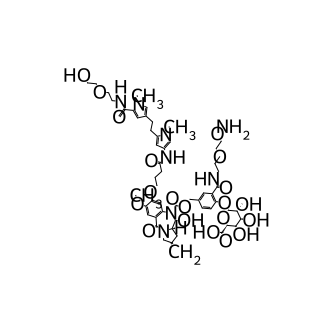 C=C1C[C@H]2C(O)N(C(=O)OCc3ccc(O[C@@H]4O[C@H](C(=O)O)[C@@H](O)[C@H](O)[C@H]4O)c(C(=O)NCCOCCON)c3)c3cc(OCCCC(=O)Nc4cc(CCc5cc(C(=O)NCCOCCO)n(C)c5)n(C)c4)c(OC)cc3C(=O)N2C1